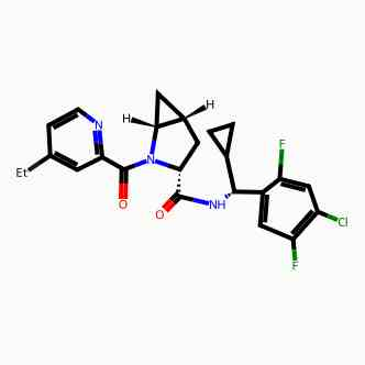 CCc1ccnc(C(=O)N2[C@@H](C(=O)N[C@@H](c3cc(F)c(Cl)cc3F)C3CC3)C[C@H]3C[C@H]32)c1